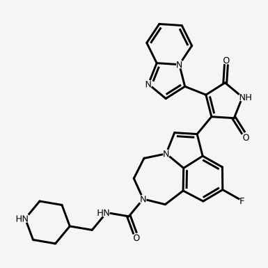 O=C1NC(=O)C(c2cnc3ccccn23)=C1c1cn2c3c(cc(F)cc13)CN(C(=O)NCC1CCNCC1)CC2